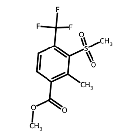 COC(=O)c1ccc(C(F)(F)F)c(S(C)(=O)=O)c1C